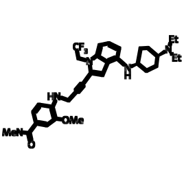 CCN(CC)[C@H]1CC[C@@H](Nc2cccc3c2cc(C#CCNc2ccc(C(=O)NC)cc2OC)n3CC(F)(F)F)CC1